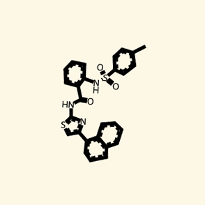 Cc1ccc(S(=O)(=O)Nc2ccccc2C(=O)Nc2nc(-c3cccc4ccccc34)cs2)cc1